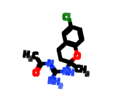 CC(=O)N=C(N)NC1(C)CCc2cc(Cl)ccc2O1